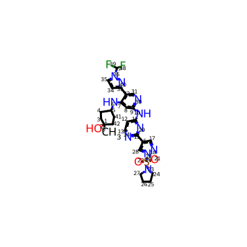 CC1(O)CCC(Nc2cc(Nc3ccnc(-c4cnn(S(=O)(=O)N5CCCC5)c4)n3)ncc2-c2ccn(C(F)F)n2)CC1